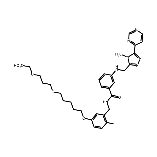 Cn1c(CNc2cccc(C(=O)NCc3cc(OCCCCCOCCCOCC(=O)O)ccc3F)c2)nnc1-c1ccncn1